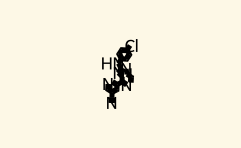 N#Cc1cncc(-c2nccn3nc(Nc4ccc(Cl)cc4)nc23)c1